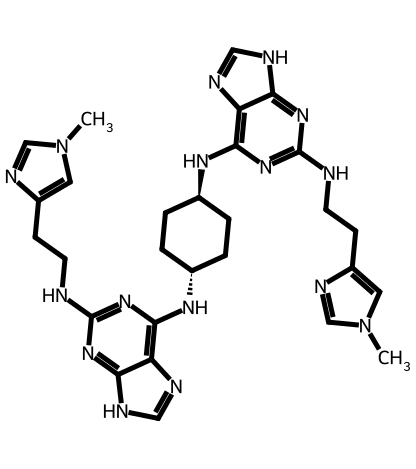 Cn1cnc(CCNc2nc(N[C@H]3CC[C@H](Nc4nc(NCCc5cn(C)cn5)nc5[nH]cnc45)CC3)c3nc[nH]c3n2)c1